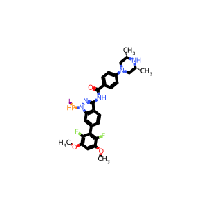 COc1cc(OC)c(F)c(-c2ccc3c(NC(=O)c4ccc(N5C[C@@H](C)N[C@@H](C)C5)cc4)nn(PI)c3c2)c1F